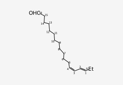 CCC=C/C=C\CCCCCCCCCCCC=O